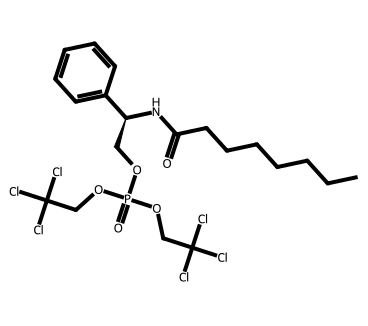 CCCCCCCC(=O)N[C@@H](COP(=O)(OCC(Cl)(Cl)Cl)OCC(Cl)(Cl)Cl)c1ccccc1